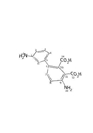 Nc1cccc(-c2ccc(N)c(C(=O)O)c2C(=O)O)c1